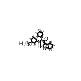 COc1cccc(NC(C(=O)c2cnn3ccccc23)c2ccccc2)c1